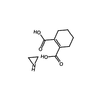 C1CN1.O=C(O)C1=C(C(=O)O)CCCC1